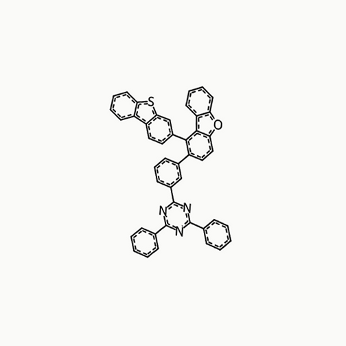 c1ccc(-c2nc(-c3ccccc3)nc(-c3cccc(-c4ccc5oc6ccccc6c5c4-c4ccc5c(c4)sc4ccccc45)c3)n2)cc1